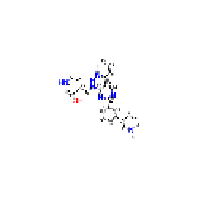 C=C/C(=C\N(C)C)c1cccc(-c2ncc(C(/C=C\C)=N/C)c(NCC3CCNCC3O)n2)c1